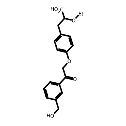 CCOC(Cc1ccc(OCC(=O)c2cccc(CO)c2)cc1)C(=O)O